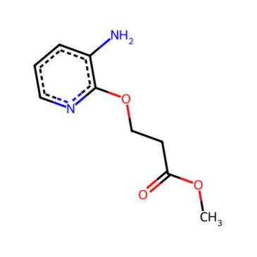 COC(=O)CCOc1ncccc1N